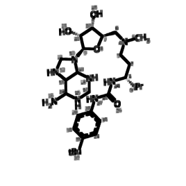 CC(C)[C@@H](CCN(C)C[C@H]1O[C@@H](N2CNC3C(N)NCNC32)[C@H](O)[C@@H]1O)NC(=O)Nc1ccc(C(C)(C)C)cc1